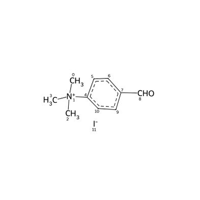 C[N+](C)(C)c1ccc(C=O)cc1.[I-]